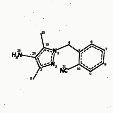 Cc1nn(Cc2ccccc2C#N)c(C)c1N